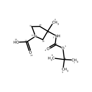 CC1(NC(=O)OC(C)(C)C)CCN(C(=O)O)C1